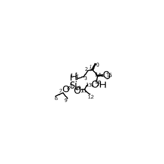 C=C(CCC[SiH](OC(C)C)OC(C)C)C(=O)O